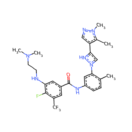 Cc1ccc(NC(=O)c2cc(NCCN(C)C)c(F)c(C(F)(F)F)c2)cc1-n1cc(-c2cnn(C)c2C)[nH]1